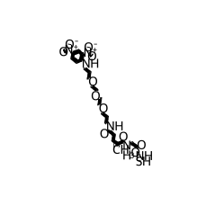 C[C@@H](CCC(=O)NCCCOCCOCCOCCCNc1ccc([N+](=O)[O-])cc1[N+](=O)[O-])C(=O)NCC(=O)ONS